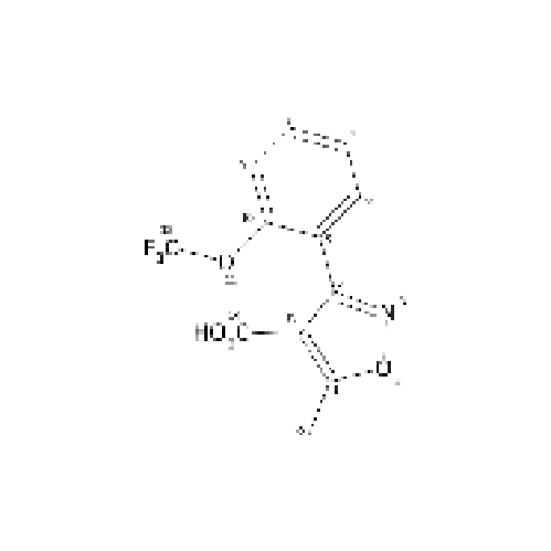 Cc1onc(-c2ccccc2OC(F)(F)F)c1C(=O)O